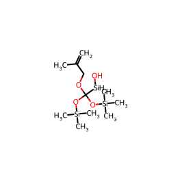 C=C(C)COC(O[Si](C)(C)C)(O[Si](C)(C)C)[SiH2]O